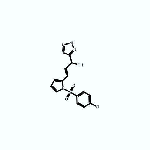 O=S(=O)(c1ccc(Cl)cc1)n1cccc1C=CC(O)c1nn[nH]n1